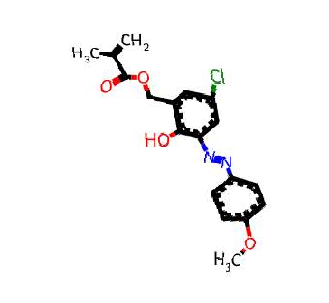 C=C(C)C(=O)OCc1cc(Cl)cc(/N=N/c2ccc(OC)cc2)c1O